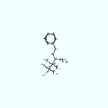 NC(CCc1ccccc1)C(F)(F)C(F)(F)F